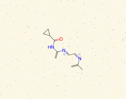 C=C(C)/N=C\C=N\C(=C)NC(=O)C1CC1